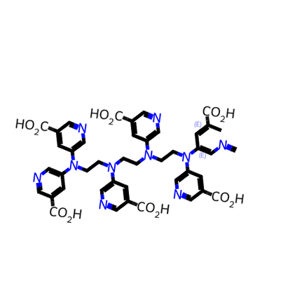 C=N/C=C(\C=C(/C)C(=O)O)N(CCN(CCN(CCN(c1cncc(C(=O)O)c1)c1cncc(C(=O)O)c1)c1cncc(C(=O)O)c1)c1cncc(C(=O)O)c1)c1cncc(C(=O)O)c1